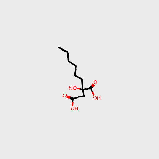 CCCCCCC(O)(CC(=O)O)C(=O)O